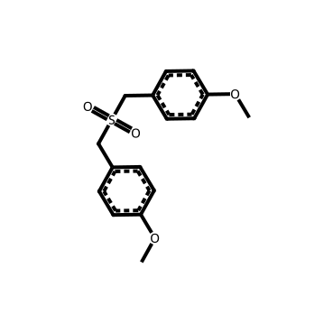 COc1ccc(CS(=O)(=O)Cc2ccc(OC)cc2)cc1